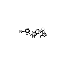 CCC1CCCN1C(=O)N1CCc2nc(Nc3cccc(C#N)c3)ncc2C1